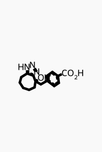 O=C(O)c1ccc(CC2(O)CCCCCc3[nH]nnc32)cc1